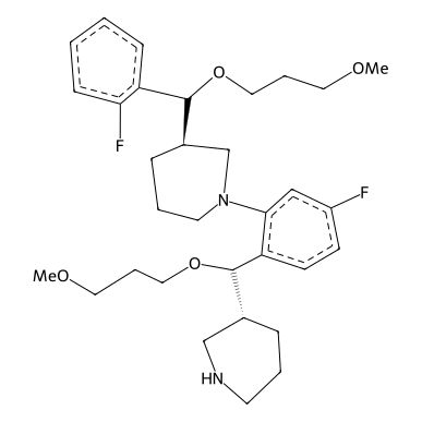 COCCCOC(c1ccccc1F)[C@@H]1CCCN(c2cc(F)ccc2C(OCCCOC)[C@@H]2CCCNC2)C1